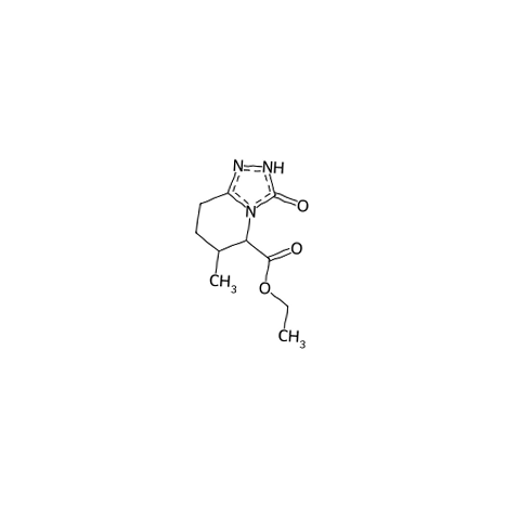 CCOC(=O)C1C(C)CCc2n[nH]c(=O)n21